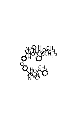 C[C@@H](C(=O)N1CCC[C@H]1c1ncc(-c2ccc(Oc3ccc(-c4cnc([C@@H]5CCCN5C(=O)[C@H](NC(=O)OC(C)(C)C)c5ccccc5)[nH]4)cc3)cc2)[nH]1)c1ccccc1